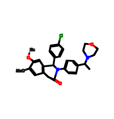 CC[C@@H](C)Oc1cc2c(cc1OC)CC(=O)N(c1ccc(C(C)N3CCOCC3)cc1)C2c1ccc(Cl)cc1